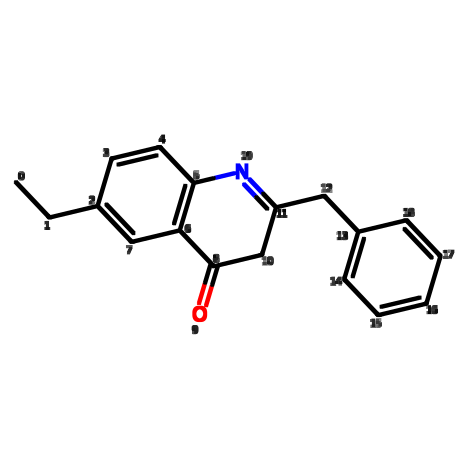 CCc1ccc2c(c1)C(=O)CC(Cc1ccccc1)=N2